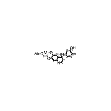 COCCOc1cc2nccc(Nc3ccc(C)c(O)c3)c2cc1OC